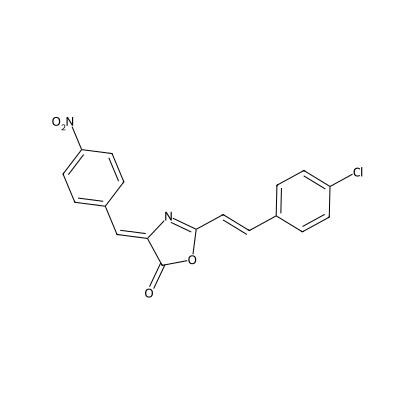 O=C1OC(/C=C/c2ccc(Cl)cc2)=NC/1=C\c1ccc([N+](=O)[O-])cc1